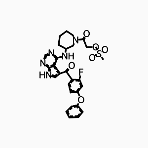 CS(=O)(=O)OCC(=O)N1CCCCC(Nc2ncnc3[nH]cc(C(=O)c4ccc(Oc5ccccc5)cc4F)c23)C1